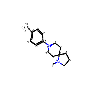 CN1CCCC12CCN(c1ccc([N+](=O)[O-])cc1)CC2